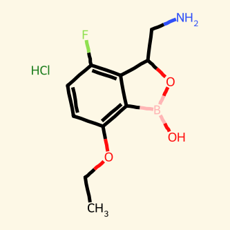 CCOc1ccc(F)c2c1B(O)OC2CN.Cl